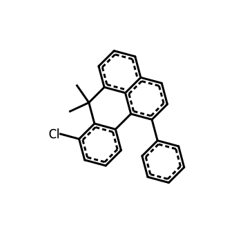 CC1(C)c2c(Cl)cccc2-c2c(-c3ccccc3)ccc3cccc1c23